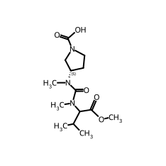 COC(=O)C(C(C)C)N(C)C(=O)N(C)[C@H]1CCN(C(=O)O)C1